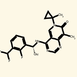 Cc1c(=O)n(C2(C)CC2)cc2c(N[C@H](O)c3cccc(C(F)F)c3F)ncnc12